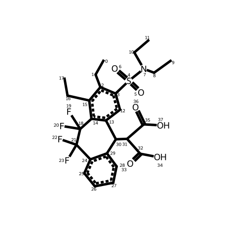 CCc1c(S(=O)(=O)N(CC)CC)cc2c(c1CC)C(F)(F)C(F)(F)c1ccccc1C2C(C(=O)O)C(=O)O